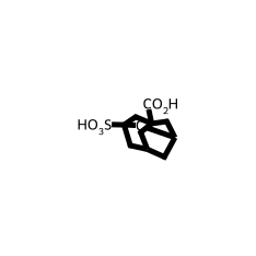 O=C(O)C12CC3CC(C1)CC(S(=O)(=O)O)(C3)C2